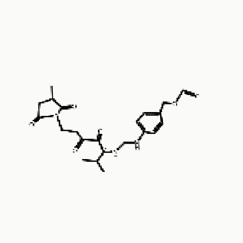 CC1CC(=O)N(CCC(=O)C(=O)[C@@H](NCNc2ccc(COC=O)cc2)C(C)C)C1=O